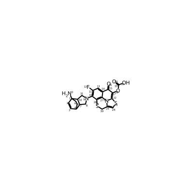 NC12C=CC(CC1)C1CN(c3c(F)cc4c(=O)c(OC(=O)O)c5scc6n5c4c3SC6)CC12